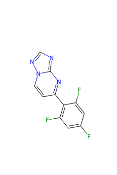 Fc1cc(F)c(-c2ccn3ncnc3n2)c(F)c1